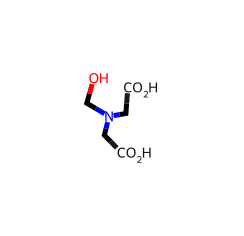 O=C(O)CN(CO)CC(=O)O